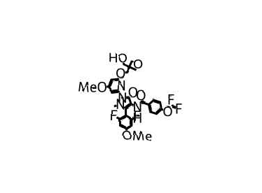 COc1cc(OCC2(CO)COC2)nc(-n2c(=O)c(NC(=O)c3ccc(OC(F)F)cc3)c(-c3c(F)cc(OC)cc3F)n2C)c1